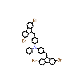 Brc1ccc2c(c1)C(=Cc1ccc(N(c3ccccc3)c3ccc(C=C4c5cc(Br)ccc5-c5ccc(Br)cc54)cc3)cc1)c1cc(Br)ccc1-2